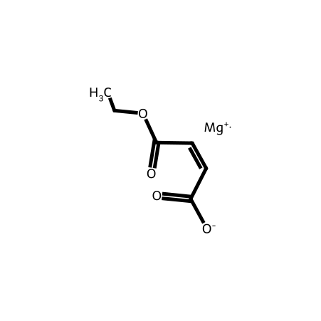 CCOC(=O)/C=C\C(=O)[O-].[Mg+]